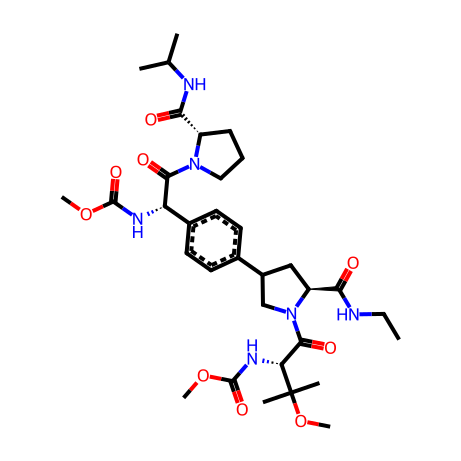 CCNC(=O)[C@@H]1CC(c2ccc([C@H](NC(=O)OC)C(=O)N3CCC[C@H]3C(=O)NC(C)C)cc2)CN1C(=O)[C@@H](NC(=O)OC)C(C)(C)OC